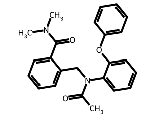 CC(=O)N(Cc1ccccc1C(=O)N(C)C)c1ccccc1Oc1ccccc1